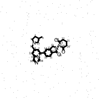 CC1CCN(Cc2cc(-c3ccc4c(c3)CN(N3C(=O)CCCC3=O)C4=O)n3cncc3c2)C1